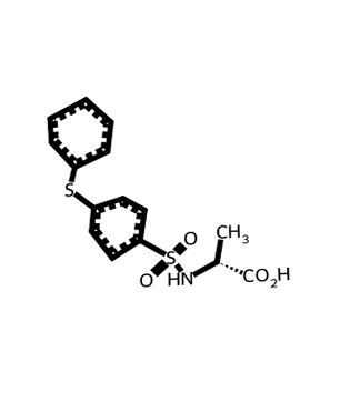 C[C@@H](NS(=O)(=O)c1ccc(Sc2ccccc2)cc1)C(=O)O